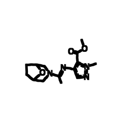 COC(=O)c1c(N=C(C)N2CC3CCC(C2)O3)cnn1C